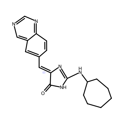 O=C1NC(NC2CCCCCC2)=N/C1=C\c1ccc2ncncc2c1